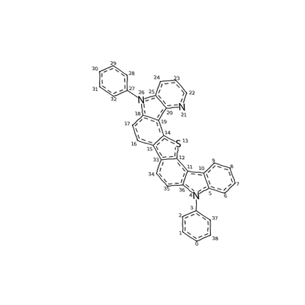 c1ccc(-n2c3ccccc3c3c4sc5c(ccc6c5c5ncccc5n6-c5ccccc5)c4ccc32)cc1